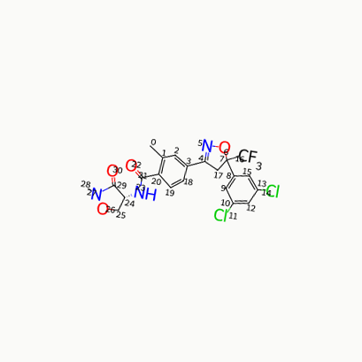 Cc1cc(C2=NOC(c3cc(Cl)cc(Cl)c3)(C(F)(F)F)C2)ccc1C(=O)N[C@@H]1CON(C)C1=O